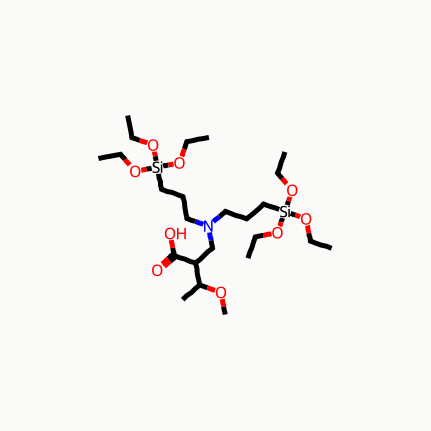 CCO[Si](CCCN(CCC[Si](OCC)(OCC)OCC)CC(C(=O)O)C(C)OC)(OCC)OCC